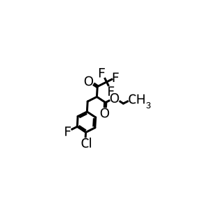 CCOC(=O)C(Cc1ccc(Cl)c(F)c1)C(=O)C(F)(F)F